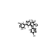 Cc1cc(-c2cc3c(cn2)C(C)(C)C(=O)N3c2ccc(C)nn2)ccn1